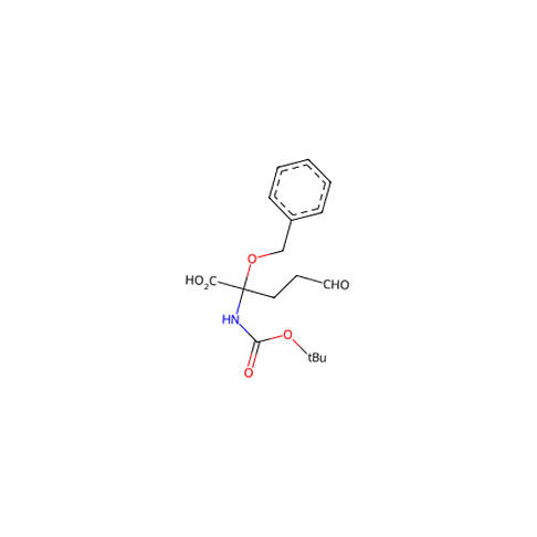 CC(C)(C)OC(=O)NC(CCC=O)(OCc1ccccc1)C(=O)O